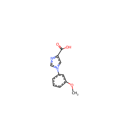 COc1cccc(-n2cnc(C(=O)O)c2)c1